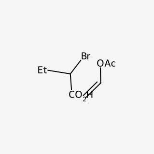 C=COC(C)=O.CCC(Br)C(=O)O